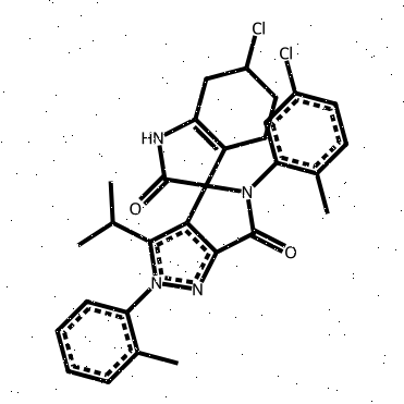 Cc1ccc(Cl)cc1N1C(=O)c2nn(-c3ccccc3C)c(C(C)C)c2C12C(=O)NC1=C2CCC(Cl)C1